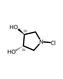 O[C@H]1CN(Cl)C[C@@H]1O